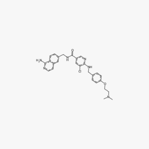 CN(C)CCOc1ccc(CNc2ncc(C(=O)NCc3ccc4c(N)nccc4c3)cc2Cl)cc1